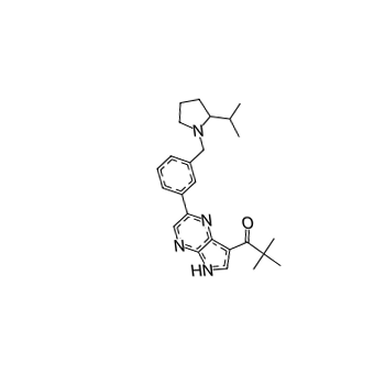 CC(C)C1CCCN1Cc1cccc(-c2cnc3[nH]cc(C(=O)C(C)(C)C)c3n2)c1